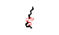 CCCCCC(=O)Oc1ccc(C)o1